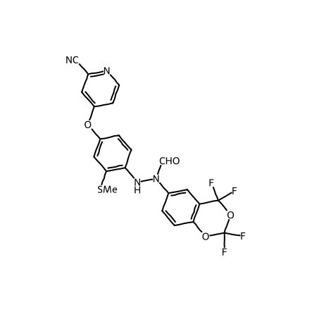 CSc1cc(Oc2ccnc(C#N)c2)ccc1NN(C=O)c1ccc2c(c1)C(F)(F)OC(F)(F)O2